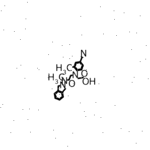 Cc1cc(C#N)ccc1N(CC(=O)O)CC(=O)N(C)N1Cc2ccccc2C1